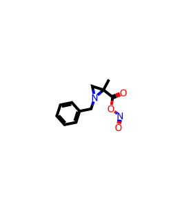 CC1(C(=O)ON=O)CN1Cc1ccccc1